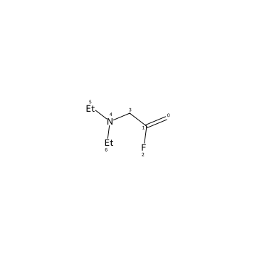 C=C(F)CN(CC)CC